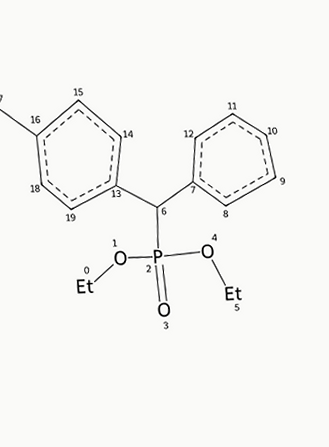 CCOP(=O)(OCC)C(c1ccccc1)c1ccc(C)cc1